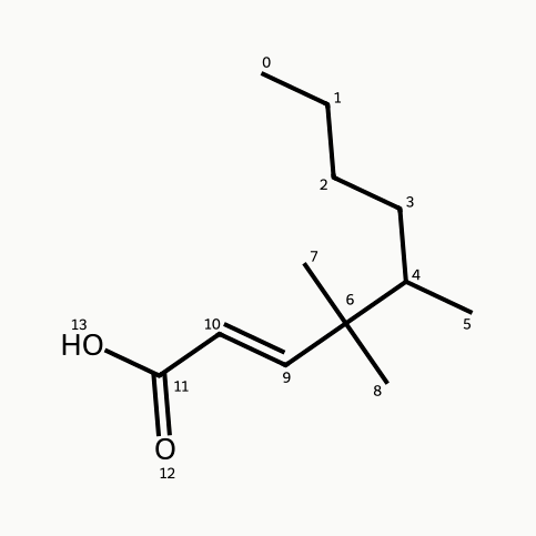 CCCCC(C)C(C)(C)C=CC(=O)O